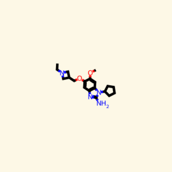 CCN1CC(COc2cc3nc(N)n(C4CCCC4)c3cc2OC)C1